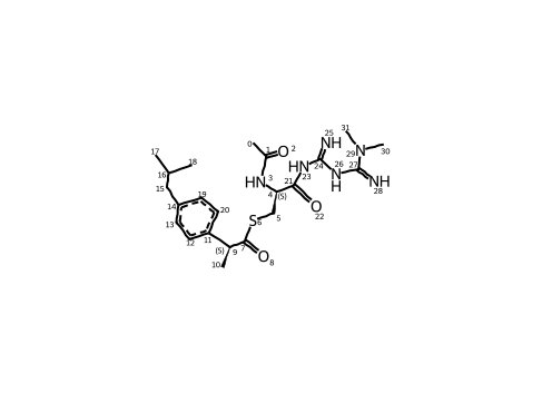 CC(=O)N[C@H](CSC(=O)[C@@H](C)c1ccc(CC(C)C)cc1)C(=O)NC(=N)NC(=N)N(C)C